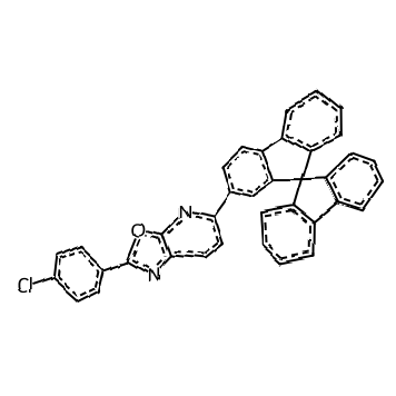 Clc1ccc(-c2nc3ccc(-c4ccc5c(c4)C4(c6ccccc6-c6ccccc64)c4ccccc4-5)nc3o2)cc1